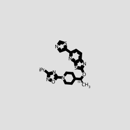 CC(C)c1noc(N2CCC([C@H](C)Oc3nc4ccc(-c5cncs5)nc4s3)CC2)n1